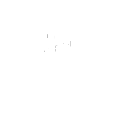 FC(F)F.O=P(O)(O)O